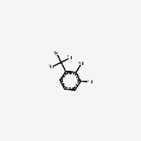 [2H]c1cccc(C([2H])([2H])[2H])c1[2H]